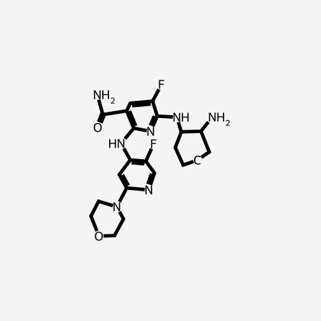 NC(=O)c1cc(F)c(NC2CCCCC2N)nc1Nc1cc(N2CCOCC2)ncc1F